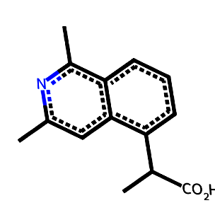 Cc1cc2c(C(C)C(=O)O)cccc2c(C)n1